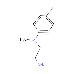 CN(CCN)c1ccc(I)cc1